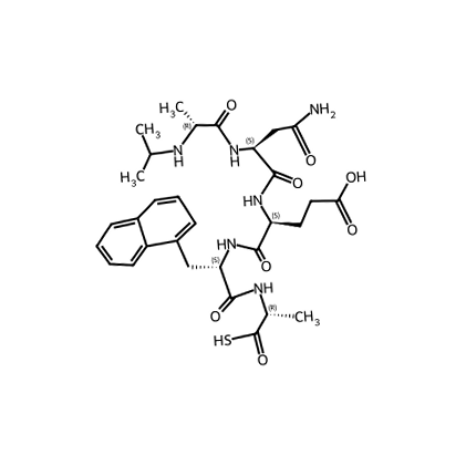 CC(C)N[C@H](C)C(=O)N[C@@H](CC(N)=O)C(=O)N[C@@H](CCC(=O)O)C(=O)N[C@@H](Cc1cccc2ccccc12)C(=O)N[C@H](C)C(=O)S